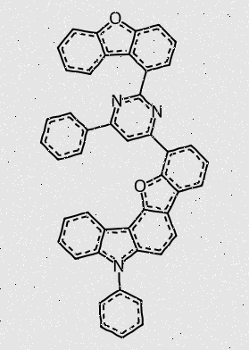 c1ccc(-c2cc(-c3cccc4c3oc3c4ccc4c3c3ccccc3n4-c3ccccc3)nc(-c3cccc4oc5ccccc5c34)n2)cc1